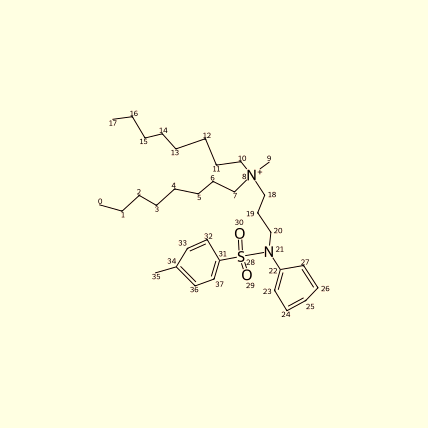 CCCCCCCC[N+](C)(CCCCCCCC)CCCN(c1ccccc1)S(=O)(=O)c1ccc(C)cc1